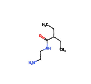 CCC(CC)C(=O)NCCN